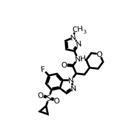 Cn1ccc(NC(=O)C(CC2CCOCC2)n2ncc3c(S(=O)(=O)C4CC4)cc(F)cc32)n1